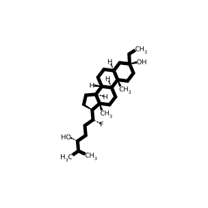 CC[C@]1(O)CC[C@@]2(C)[C@@H](CC[C@@H]3[C@@H]2CC[C@]2(C)[C@@H]([C@H](F)CC[C@@H](O)C(C)C)CC[C@@H]32)C1